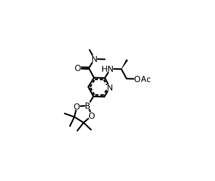 CC(=O)OC[C@H](C)Nc1ncc(B2OC(C)(C)C(C)(C)O2)cc1C(=O)N(C)C